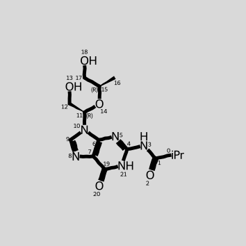 CC(C)C(=O)Nc1nc2c(ncn2[C@@H](CO)O[C@H](C)CO)c(=O)[nH]1